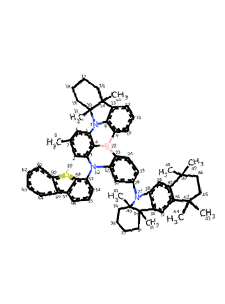 Cc1cc2c3c(c1)N1c4c(cccc4C4(C)CCCCC14C)B3c1ccc(N3c4cc5c(cc4C4(C)CCCCC34C)C(C)(C)CCC5(C)C)cc1N2c1cccc2c1sc1ccccc12